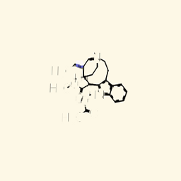 C/C=C1/C=[N+]2CCc3c([nH]c4ccccc34)[C@@](COC(C)=O)(C(=O)OC)[C@H]1CC2